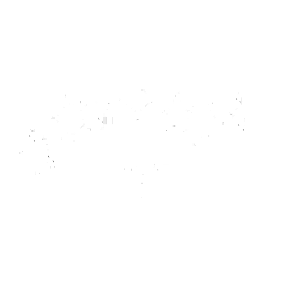 CC(=O)O.c1cc2cc(-c3ccc(-c4cc5ccc(C6=NCCN6)cc5o4)s3)[nH]c2cc1C1=NCCN1